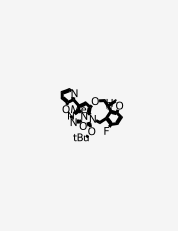 COc1cccnc1-c1cc2c(n3cnnc13)N(C(=O)OC(C)(C)C)Cc1c(F)ccc3c1[C@H](CO3)CO2